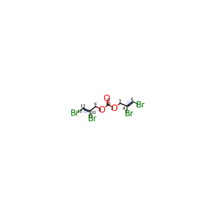 O=C(OC/C(Br)=C/Br)OC/C(Br)=C/Br